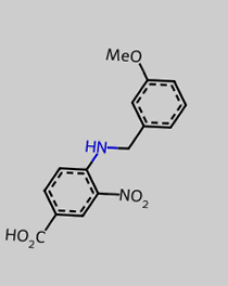 COc1cccc(CNc2ccc(C(=O)O)cc2[N+](=O)[O-])c1